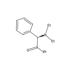 CCN(CC)[C@@H](C(=O)C(C)C)c1ccccc1